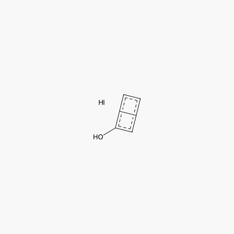 I.Oc1cc2ccc1-2